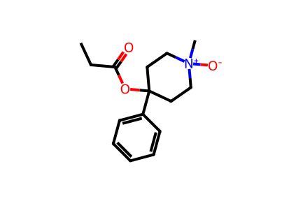 CCC(=O)OC1(c2ccccc2)CC[N+](C)([O-])CC1